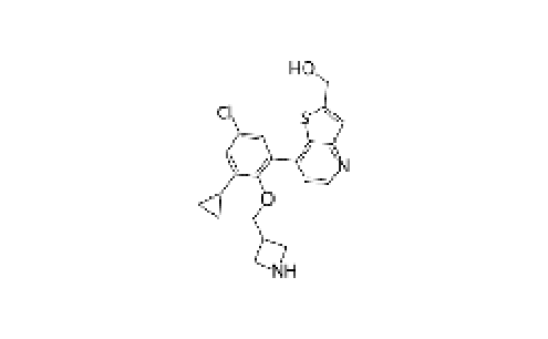 OCc1cc2nccc(-c3cc(Cl)cc(C4CC4)c3OCC3CNC3)c2s1